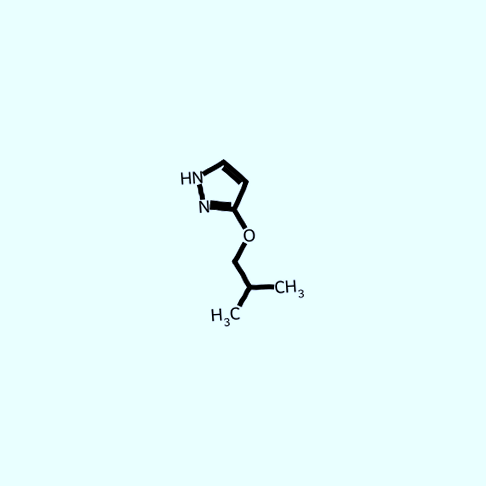 CC(C)COc1cc[nH]n1